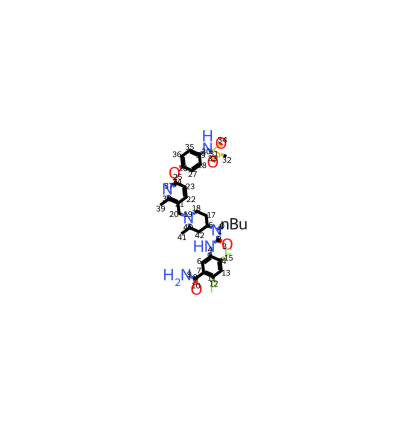 CCCCN(C(=O)Nc1cc(C(N)=O)c(F)cc1F)C1CCN(Cc2ccc(Oc3ccc(NS(C)(=O)=O)cc3)nc2C)C(C)C1